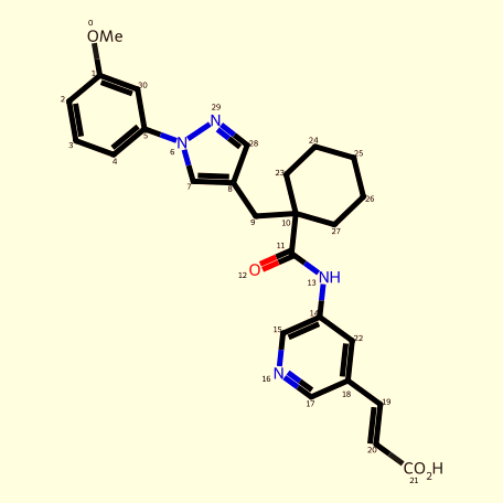 COc1cccc(-n2cc(CC3(C(=O)Nc4cncc(/C=C/C(=O)O)c4)CCCCC3)cn2)c1